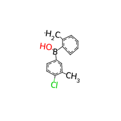 [CH2]c1ccccc1B(O)c1ccc(Cl)c(C)c1